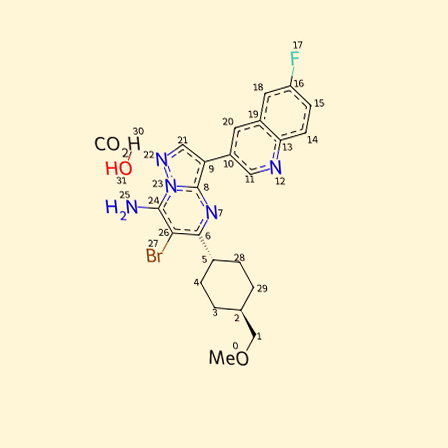 COC[C@H]1CC[C@H](c2nc3c(-c4cnc5ccc(F)cc5c4)cnn3c(N)c2Br)CC1.O=C(O)O